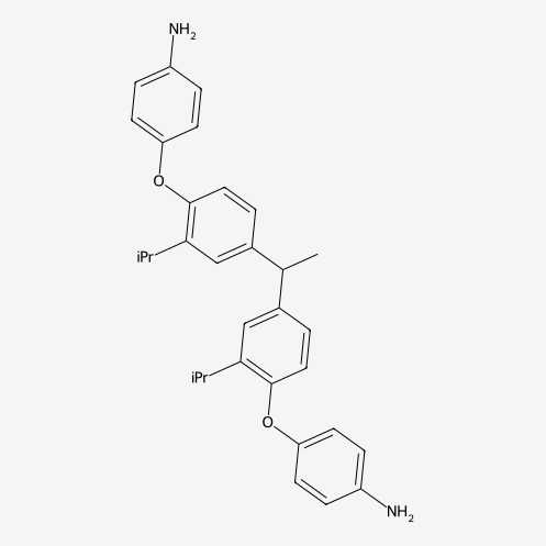 CC(C)c1cc(C(C)c2ccc(Oc3ccc(N)cc3)c(C(C)C)c2)ccc1Oc1ccc(N)cc1